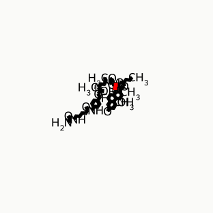 CCCC1O[C@@H]2CC3[C@@H]4C[C@H](F)C5=CC(=O)C=C[C@]5(C)C4[C@@H](O)C[C@]3(C)[C@]2(C(=O)COC(=O)N(C)CCN(C)C(=O)OCc2ccc(NC(=O)CCCCNC(N)=O)cc2)O1